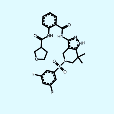 CC1(C)CN(S(=O)(=O)c2cc(F)cc(F)c2)Cc2c(NC(=O)c3ccccc3NC(=O)C3CCOC3)n[nH]c21